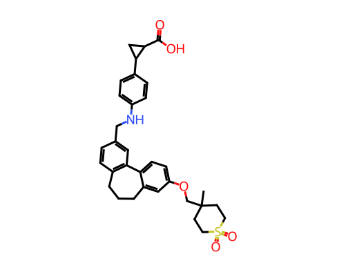 CC1(COc2ccc3c(c2)CCCc2ccc(CNc4ccc(C5CC5C(=O)O)cc4)cc2-3)CCS(=O)(=O)CC1